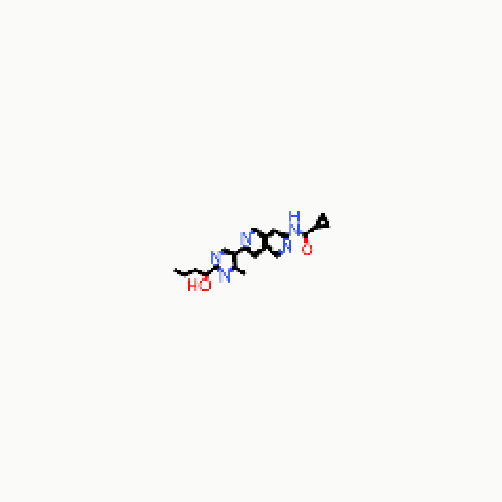 CCCC(O)c1ncc(-c2cc3cnc(NC(=O)C4CC4)cc3cn2)c(C)n1